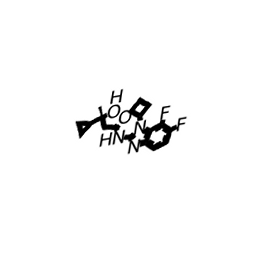 C[C@@](O)(CC(=O)Nc1nc2ccc(F)c(F)c2n1C1CCC1)C1CC1